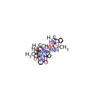 CCC[C@H](NC(=O)[C@@H]1C2CCC[C@H]2CN1C(=O)[C@@H](NC(=O)[C@@H](NC(=O)c1cccc(=O)[nH]1)C(C)(C)C)C(C)(C)C)C(=O)C(=O)N[C@@H](C)c1ccccc1